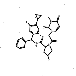 Cn1c(=O)ccn(CC(=O)N2CC(F)CC2C(=O)NC(c2ccccc2)c2ccc(C3CC3)c(F)c2)c1=O